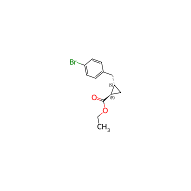 CCOC(=O)[C@@H]1C[C@H]1Cc1ccc(Br)cc1